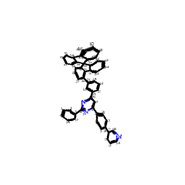 c1ccc(-c2nc(-c3ccc(-c4cccnc4)cc3)cc(-c3cccc(-c4cccc5c4-c4ccccc4C54c5ccccc5-c5ccccc54)c3)n2)cc1